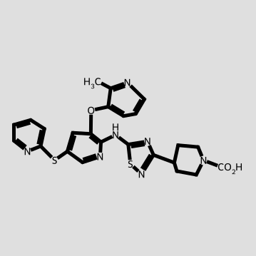 Cc1ncccc1Oc1cc(Sc2ccccn2)cnc1Nc1nc(C2CCN(C(=O)O)CC2)ns1